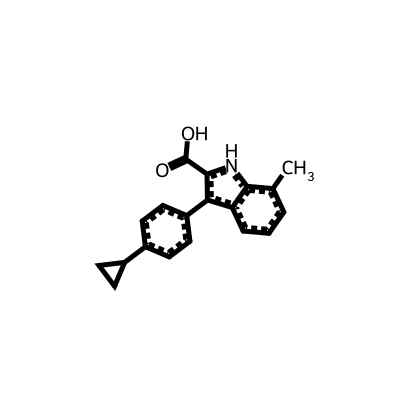 Cc1cccc2c(-c3ccc(C4CC4)cc3)c(C(=O)O)[nH]c12